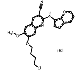 COc1cc2cc(C#N)c(Nc3ccc4cccoc3-4)nc2cc1OCCCCCl.Cl